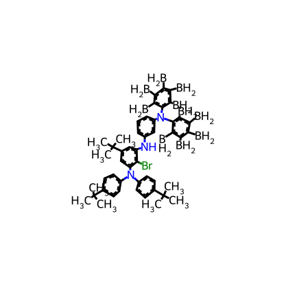 Bc1c(B)c(B)c(N(c2cccc(Nc3cc(C(C)(C)C)cc(N(c4ccc(C(C)(C)C)cc4)c4ccc(C(C)(C)C)cc4)c3Br)c2)c2c(B)c(B)c(B)c(B)c2B)c(B)c1B